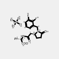 CC(C)[C@H](NC(=O)C[C@@H]1CCC(=O)N1Cc1cccc(F)c1F)C(=O)[O-].CC[N+](CC)(CC)CC